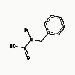 O=C(O)N(Br)Cc1ccccc1